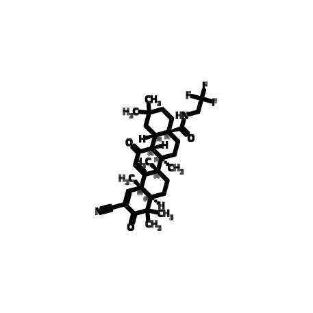 CC1(C)CC[C@]2(C(=O)NCC(F)(F)F)CC[C@]3(C)[C@H](C(=O)C=C4[C@@]5(C)C=C(C#N)C(=O)C(C)(C)[C@@H]5CC[C@]43C)[C@@H]2C1